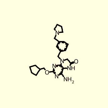 Nc1nc(OCC2CCCC2)nc2c1NC(=O)CN2Cc1cccc(CN2CCCC2)c1